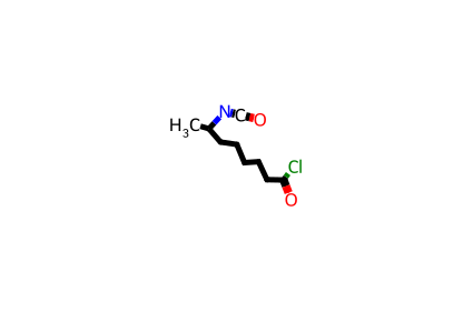 CC(CCCCCC(=O)Cl)N=C=O